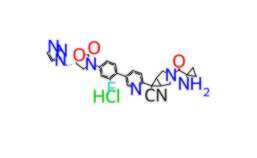 Cl.N#CC1(c2ccc(-c3ccc(N4C[C@H](Cn5ccnn5)OC4=O)cc3F)cn2)C2CN(C(=O)C3(N)CC3)CC21